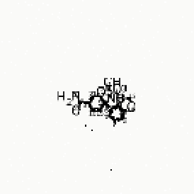 CS(=O)(=O)NC1(c2cccc3c2OCO3)C=CC(C(N)=O)=CC1